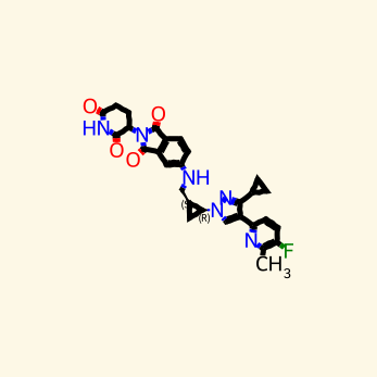 Cc1nc(-c2cn([C@@H]3C[C@H]3CNc3ccc4c(c3)C(=O)N(C3CCC(=O)NC3=O)C4=O)nc2C2CC2)ccc1F